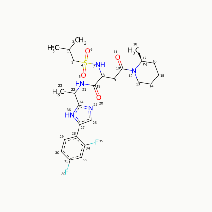 CC(C)CS(=O)(=O)NC(CC(=O)N1CCCC[C@@H]1C)C(=O)NC(C)c1ncc(-c2ccc(F)cc2F)[nH]1